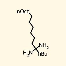 CCCCCCCCCCCCCCC(N)(N)CCCC